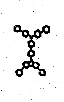 C1=CC(c2ccccc2)Cc2c1n(-c1ccc(-c3ccc(N(c4ccc(-c5ccccc5)cc4)c4ccc(-c5ccccc5)cc4)cc3)cc1)c1ccc(-c3ccccc3)cc21